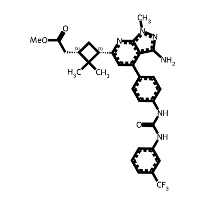 COC(=O)C[C@@H]1C[C@H](c2cc(-c3ccc(NC(=O)Nc4cccc(C(F)(F)F)c4)cc3)c3c(N)nn(C)c3n2)C1(C)C